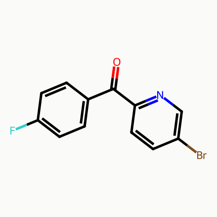 O=C(c1ccc(F)cc1)c1ccc(Br)cn1